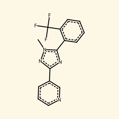 Cn1nc(-c2cccnc2)nc1-c1ccccc1C(F)(F)F